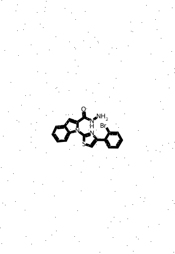 NNC(=O)c1cc2ccccc2n1-c1nc(-c2ccccc2Br)cs1